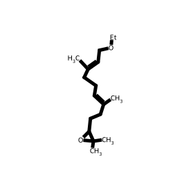 CCOCC=C(C)CCC=C(C)CCC1OC1(C)C